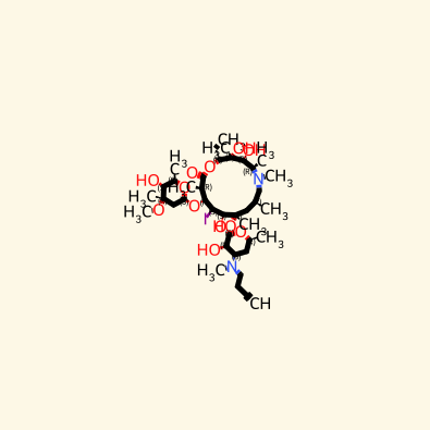 C#CCCN(C)[C@H]1C[C@@H](C)O[C@@H](O[C@@H]2[C@@H](I)[C@H](O[C@H]3C[C@@](C)(OC)[C@@H](O)[C@H](C)O3)[C@@H](C)C(=O)O[C@H](CC)[C@@](C)(O)[C@H](O)[C@@H](C)N(C)C[C@H](C)C[C@@]2(C)O)[C@@H]1O